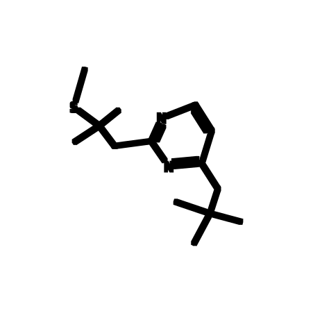 CSC(C)(C)Cc1nccc(CC(C)(C)C)n1